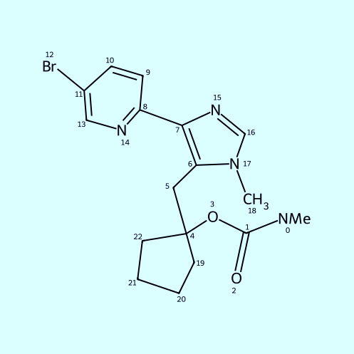 CNC(=O)OC1(Cc2c(-c3ccc(Br)cn3)ncn2C)CCCC1